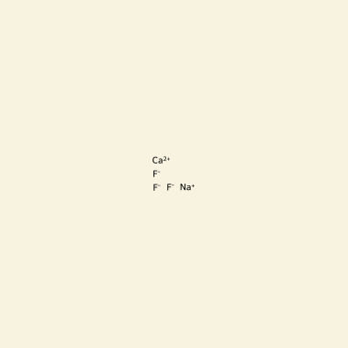 [Ca+2].[F-].[F-].[F-].[Na+]